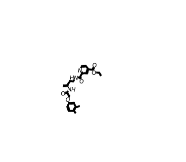 C=C(CCNC(=O)c1cc(C(=O)OCC)ccn1)NC(=O)COc1ccc(C)c(C)c1